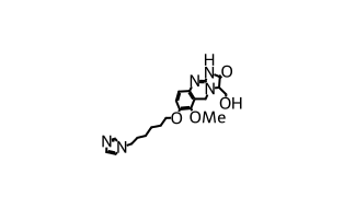 COc1c(OCCCCCCn2ccnc2)ccc2c1CN1C(=N2)NC(=O)C1CO